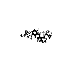 CCN(C)S(=O)(=O)Nc1ccc(F)c(C(=O)c2c[nH]c3ncnc(N[C@H](C)C4CC4)c23)c1F